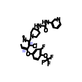 C=N/C(=C(Cl)\C(=C/C)Oc1ccc(OC(F)(F)F)c(F)c1)N1CCC(NC(=O)Nc2cccnc2)CC1